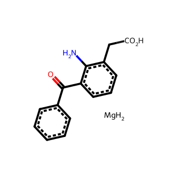 Nc1c(CC(=O)O)cccc1C(=O)c1ccccc1.[MgH2]